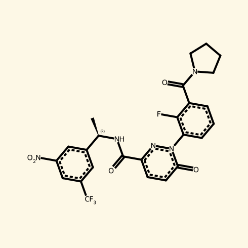 C[C@@H](NC(=O)c1ccc(=O)n(-c2cccc(C(=O)N3CCCC3)c2F)n1)c1cc([N+](=O)[O-])cc(C(F)(F)F)c1